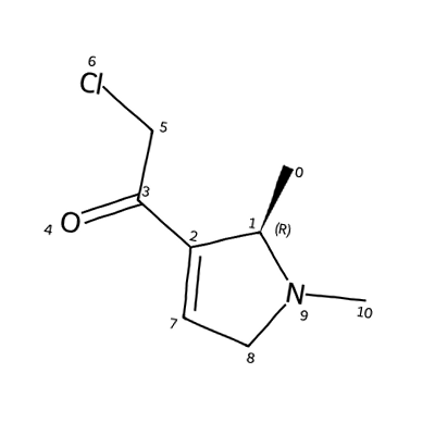 C[C@@H]1C(C(=O)CCl)=CCN1C